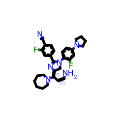 N#Cc1ccc(C2=N/C(=C(/C=C\N)N3CCCCCC3)CN2c2ccc(N3CCCC3)cc2F)cc1F